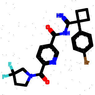 N=C(NC(=O)c1ccc(C(=O)N2CCC(F)(F)C2)nc1)C1(c2ccc(Br)cc2)CCC1